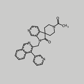 CC(=O)N1CCC2(CC1)C(=O)N(Cc1ncc3ccccc3c1-c1cccnc1)c1cnccc12